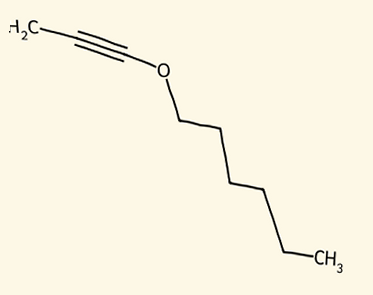 [CH2]C#COCCCCCC